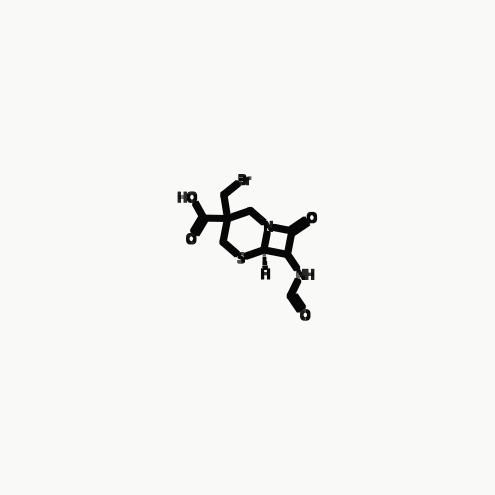 O=CNC1C(=O)N2CC(CBr)(C(=O)O)CS[C@H]12